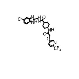 O=C(COc1ccc(C(F)(F)F)nc1)NC1CCC(C(=O)NCc2nc3cc(Cl)ccc3[nH]2)CC1